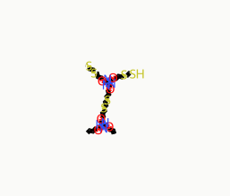 C=CCOc1nc(OCCCC)nc(OCCCSCCSCCCOc2nc(OCCCSCCS)nc(OCCCSCCSC)n2)n1